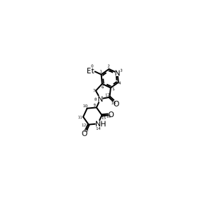 CCc1cncc2c1CN(C1CCC(=O)NC1=O)C2=O